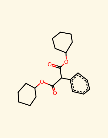 O=C(OC1CCCCC1)C(C(=O)OC1CCCCC1)c1ccccc1